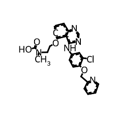 CN(CCOc1cccc2ncnc(Nc3ccc(OCc4ccccn4)c(Cl)c3)c12)C(=O)O